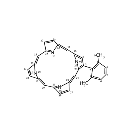 Cc1cccc(C)c1-c1cc2cc3nc(cc4ccc(cc5nc(cc1[nH]2)C=C5)[nH]4)C=C3